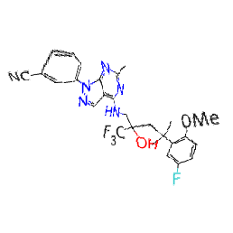 COc1ccc(F)cc1C(C)(C)CC(O)(CNc1nc(C)nc2c1cnn2-c1cccc(C#N)c1)C(F)(F)F